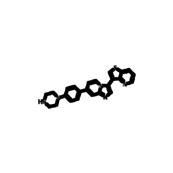 c1cnc2c(-c3cnc4cc(-c5ccc(N6CCNCC6)cc5)ccn34)csc2c1